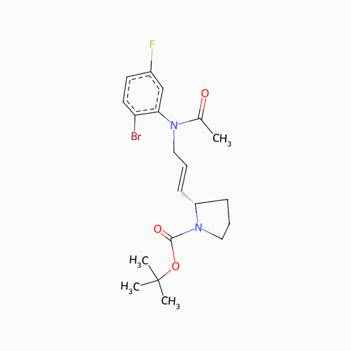 CC(=O)N(C/C=C/[C@@H]1CCCN1C(=O)OC(C)(C)C)c1cc(F)ccc1Br